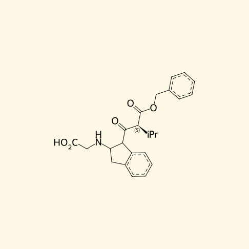 CC(C)[C@H](C(=O)OCc1ccccc1)C(=O)C1c2ccccc2CC1NCC(=O)O